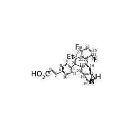 CCC(=C(c1ccc(C=CC(=O)O)cc1)c1ccc2[nH]ncc2c1)c1cc(F)ccc1F